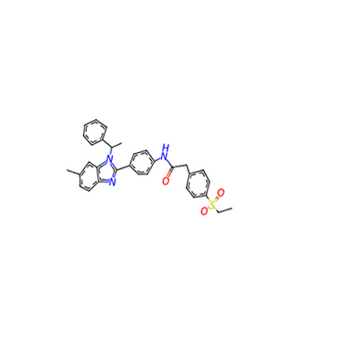 CCS(=O)(=O)c1ccc(CC(=O)Nc2ccc(-c3nc4ccc(C)cc4n3C(C)c3ccccc3)cc2)cc1